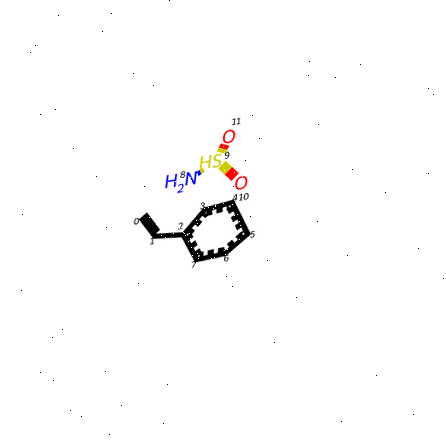 C=Cc1ccccc1.N[SH](=O)=O